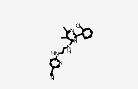 Cc1nc(-c2ccccc2Cl)nc(NCCNc2ccc(C#N)cn2)c1C